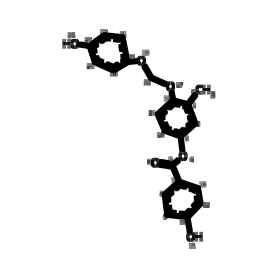 Cc1cc(OC(=O)c2ccc(O)cc2)ccc1OCOc1ccc(O)cc1